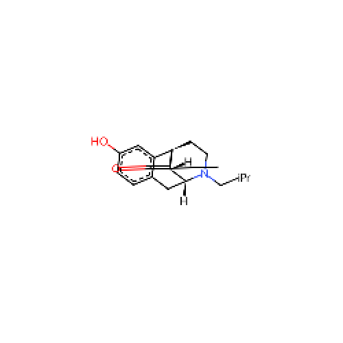 CC(C)CN1CC[C@]23CCC(=O)C[C@H]2[C@H]1Cc1ccc(O)cc13